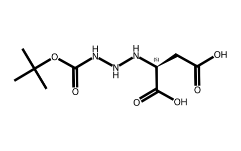 CC(C)(C)OC(=O)NNN[C@@H](CC(=O)O)C(=O)O